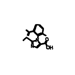 C=C(C)c1cccc(C)c1-n1c(C(=O)O)cnc1CC